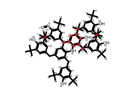 CC(C)(C)c1cc(Cc2cc(Cc3cc(C(C)(C)C)c(O)c(C(C)(C)C)c3)c(Nc3c(Cc4cc(C(C)(C)C)c(O)c(C(C)(C)C)c4)cc(Cc4cc(C(C)(C)C)c(O)c(C(C)(C)C)c4)cc3Cc3cc(C(C)(C)C)c(N=O)c(C(C)(C)C)c3)c(Cc3cc(C(C)(C)C)c(O)c(C(C)(C)C)c3)c2)cc(C(C)(C)C)c1O